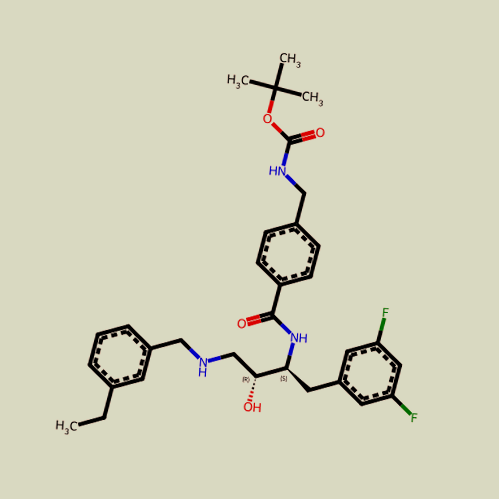 CCc1cccc(CNC[C@@H](O)[C@H](Cc2cc(F)cc(F)c2)NC(=O)c2ccc(CNC(=O)OC(C)(C)C)cc2)c1